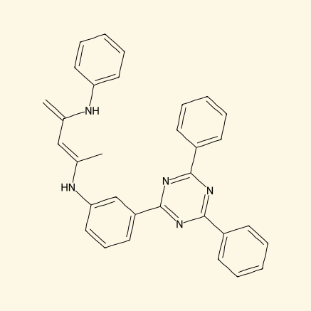 C=C(/C=C(\C)Nc1cccc(-c2nc(-c3ccccc3)nc(-c3ccccc3)n2)c1)Nc1ccccc1